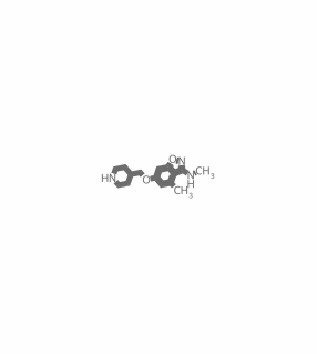 CNc1noc2cc(OCC3CCNCC3)cc(C)c12